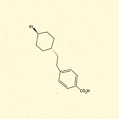 CC[C@H]1CC[C@H](CCc2ccc(C(=O)O)cc2)CC1